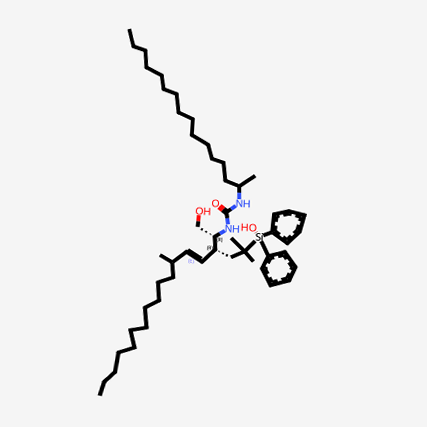 CCCCCCCCCCCCCCC(C)NC(=O)N[C@@H](CO)[C@@H](/C=C/C(C)CCCCCCCCCCC)CC(C)(C)[Si](O)(c1ccccc1)c1ccccc1